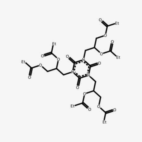 CCC(=O)OCC(Cn1c(=O)n(CC(COC(=O)CC)OC(=O)CC)c(=O)n(CC(COC(=O)CC)OC(=O)CC)c1=O)OC(=O)CC